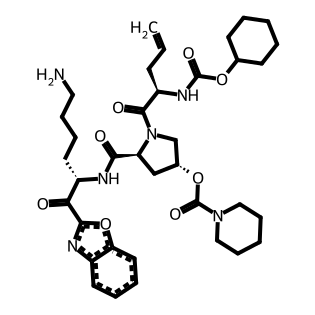 C=CC[C@@H](NC(=O)OC1CCCCC1)C(=O)N1C[C@H](OC(=O)N2CCCCC2)C[C@H]1C(=O)N[C@@H](CCCCN)C(=O)c1nc2ccccc2o1